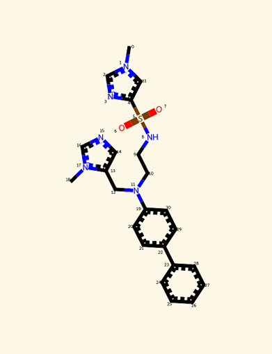 Cn1cnc(S(=O)(=O)NCCN(Cc2cncn2C)c2ccc(-c3ccccc3)cc2)c1